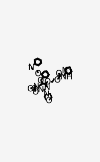 CN(C)c1ccccc1.COc1ccccc1Oc1c(N=S(=O)=O)nc(N2CCOCC2)nc1OCCOC(=O)Nc1ccccn1